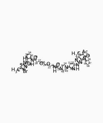 CC(=O)c1c(C)c2cnc(Nc3ccc(N4CCN(CC(=O)NCCOCCOCCC(=O)Nc5ccccc5C(=O)Nc5nc(Br)c(C)s5)CC4)cn3)nc2n(C2CCCC2)c1=O